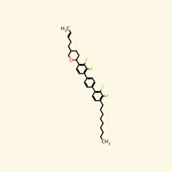 C/C=C/CCC1CCC(c2ccc(-c3ccc(-c4ccc(CCCCCCCCC)c(F)c4F)cc3)c(F)c2F)OC1